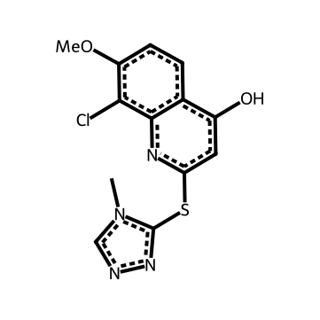 COc1ccc2c(O)cc(Sc3nncn3C)nc2c1Cl